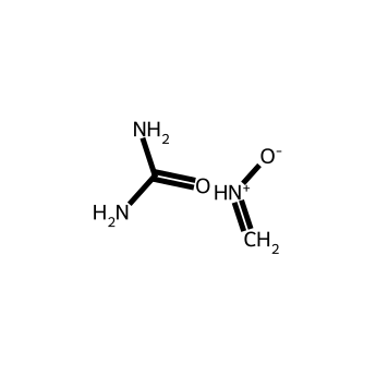 C=[NH+][O-].NC(N)=O